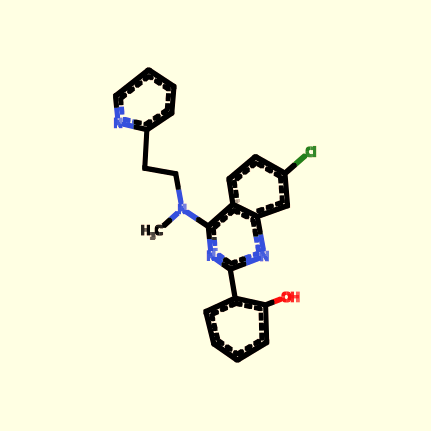 CN(CCc1ccccn1)c1nc(-c2ccccc2O)nc2cc(Cl)ccc12